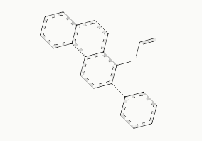 O=COc1c(-c2ccccc2)ccc2c1ccc1ccccc12